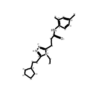 CCn1c(CCC(=O)Nc2ccc(C)cc2C)nnc1CCC1CCCC1